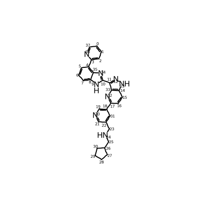 c1ccc(-c2cccc3[nH]c(-c4n[nH]c5ccc(-c6cncc(CNCC7CCCC7)c6)nc45)nc23)nc1